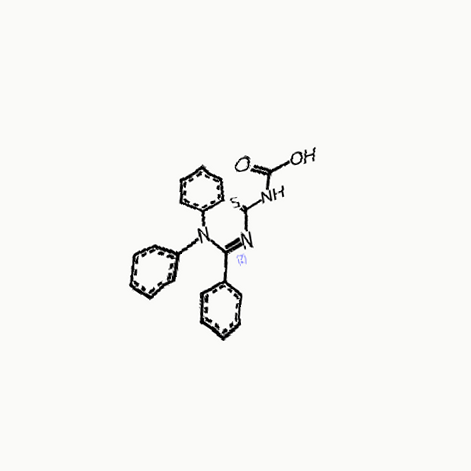 O=C(O)NC(=S)/N=C(/c1ccccc1)N(c1ccccc1)c1ccccc1